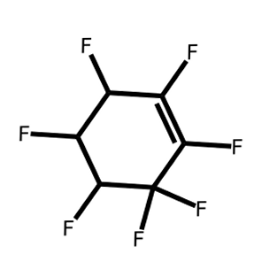 FC1=C(F)C(F)(F)C(F)C(F)C1F